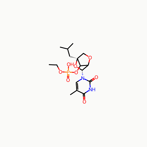 CCOP(=O)(O)OC1C2OC[C@]1(CC(C)C)O[C@H]2n1cc(C)c(=O)[nH]c1=O